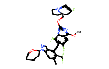 Cc1cc2c(cnn2C2CCCCO2)c(-c2c(F)cc3c(OC(C)(C)C)nc(OC[C@@]45CCCN4C[C@H](F)C5)nc3c2F)c1C(F)F